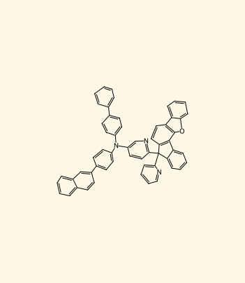 c1ccc(-c2ccc(N(c3ccc(-c4ccc5ccccc5c4)cc3)c3ccc(C4(c5ccccn5)c5ccccc5-c5c4ccc4c5oc5ccccc54)nc3)cc2)cc1